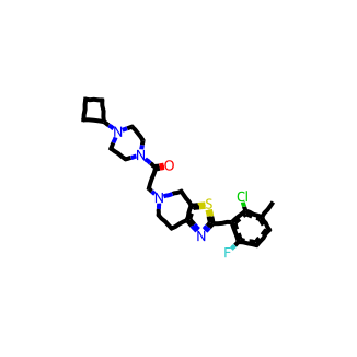 Cc1ccc(F)c(-c2nc3c(s2)CN(CC(=O)N2CCN(C4CCC4)CC2)CC3)c1Cl